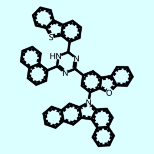 c1ccc2cc3c(cc2c1)c1c2ccccc2ccc1n3-c1cc(C2=NC(c3cccc4c3sc3ccccc34)NC(c3cccc4ccccc34)=N2)cc2c1oc1ccccc12